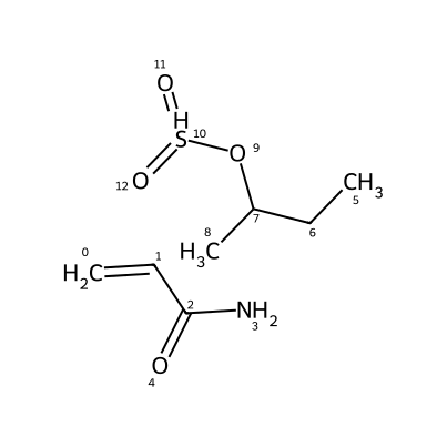 C=CC(N)=O.CCC(C)O[SH](=O)=O